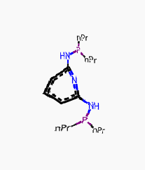 CCCP(CCC)Nc1cccc(NP(CCC)CCC)n1